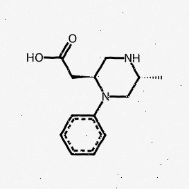 C[C@@H]1CN(c2ccccc2)[C@@H](CC(=O)O)CN1